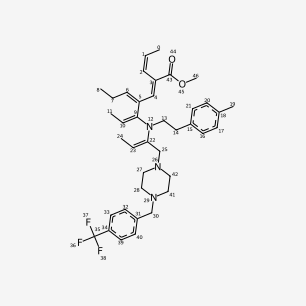 C\C=C/C(=C\C(=C\CC)C(=C/C)\N(CCc1ccc(C)cc1)/C(=C\C)CN1CCN(Cc2ccc(C(F)(F)F)cc2)CC1)C(=O)OC